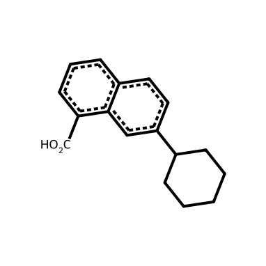 O=C(O)c1cccc2ccc(C3CCCCC3)cc12